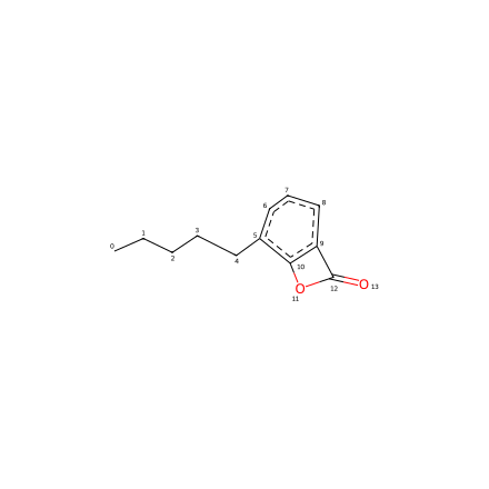 CCCCCc1cccc2c1OC2=O